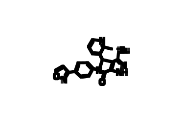 Cc1ncccc1C1c2c(C(C)(C)C)n[nH]c2C(=O)N1c1ccc(-c2ccon2)cc1